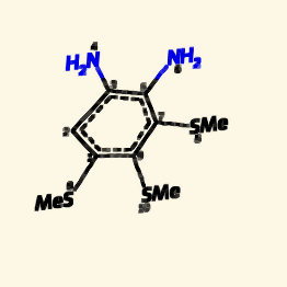 CSc1cc(N)c(N)c(SC)c1SC